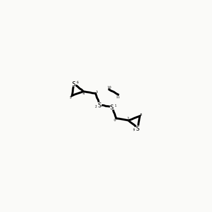 C(SSCC1CS1)C1CS1.CC